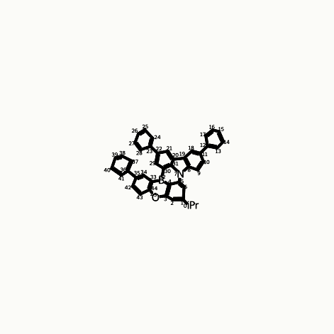 CC(C)c1cc2c3c(c1)-n1c4ccc(-c5ccccc5)cc4c4cc(-c5ccccc5)cc(c41)B3c1cc(-c3ccccc3)ccc1O2